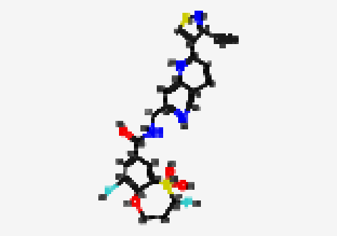 COc1nscc1-c1ccc2cnc(CNC(=O)c3cc(F)c4c(c3)S(=O)(=O)[C@@H](F)CCO4)cc2n1